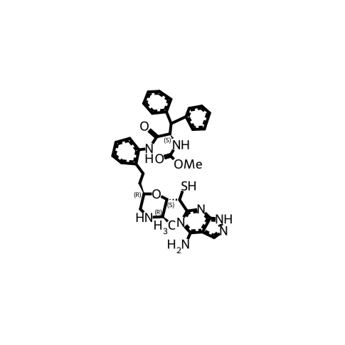 COC(=O)N[C@H](C(=O)Nc1ccccc1CC[C@@H]1CN[C@H](C)[C@@H](C(S)c2nc(N)c3cn[nH]c3n2)O1)C(c1ccccc1)c1ccccc1